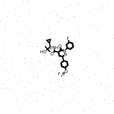 CC(C)(O)[C@@H](NC(=O)c1cc(-c2ccc(OC(F)(F)F)cc2)nn(-c2cccc(F)c2)c1=O)C1CC1